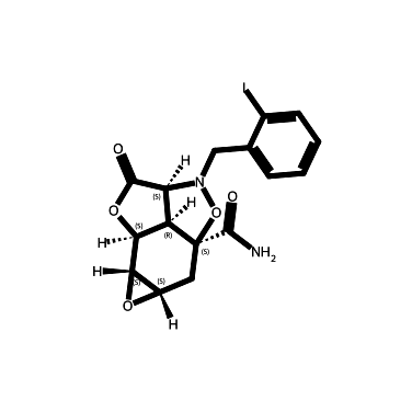 NC(=O)[C@]12C[C@@H]3O[C@@H]3[C@H]3OC(=O)[C@H]([C@H]31)N(Cc1ccccc1I)O2